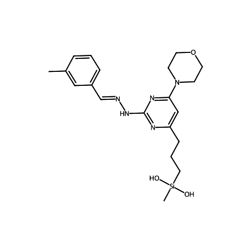 Cc1cccc(/C=N/Nc2nc(CCC[Si](C)(O)O)cc(N3CCOCC3)n2)c1